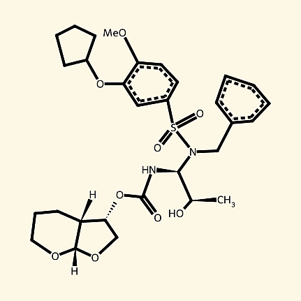 COc1ccc(S(=O)(=O)N(Cc2ccccc2)[C@H](NC(=O)O[C@@H]2CO[C@@H]3OCCC[C@@H]32)[C@@H](C)O)cc1OC1CCCC1